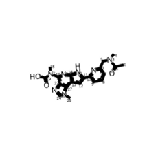 CC(=O)N(C)Cc1cccc(-c2cc3c(nc(N(C)C(=O)O)c4ncn(C)c43)[nH]2)n1